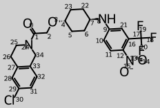 O=C(CO[C@H]1CC[C@H](Nc2ccc([N+](=O)[O-])c(C(F)(F)F)c2)CC1)N1CCc2cc(Cl)ccc2C1